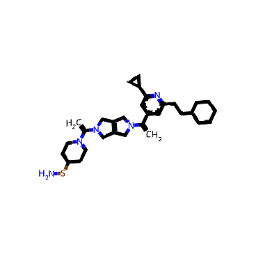 C=C(c1cc(CCC2CCCCC2)nc(C2CC2)c1)N1CC2=C(C1)CN(C(=C)N1CCC(SN)CC1)C2